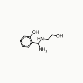 NC(NCCO)c1ccccc1O